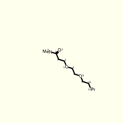 CNC(=O)CCOCCOCCC(C)C